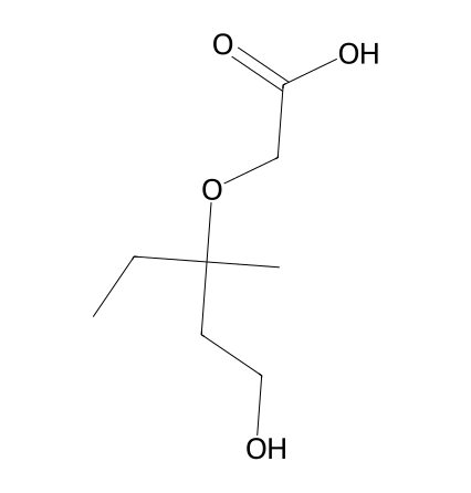 CCC(C)(CCO)OCC(=O)O